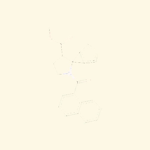 COC(=O)C1CCN(C(=O)c2cccc3ccccc23)C12c1cscc12